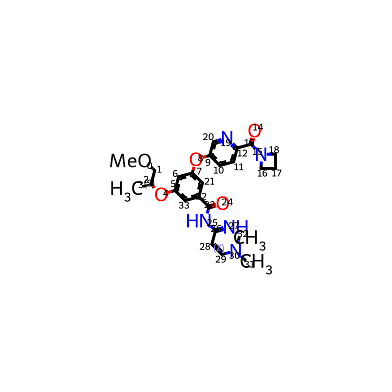 COC[C@H](C)Oc1cc(Oc2ccc(C(=O)N3CCC3)nc2)cc(C(=O)NC(=N)/C=C\N(C)C)c1